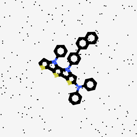 c1ccc(N(c2ccccc2)c2cc3c(s2)c2sc4c5sccc5n(-c5ccccc5)c4c2n3-c2ccc(-c3ccc4ccccc4c3)cc2)cc1